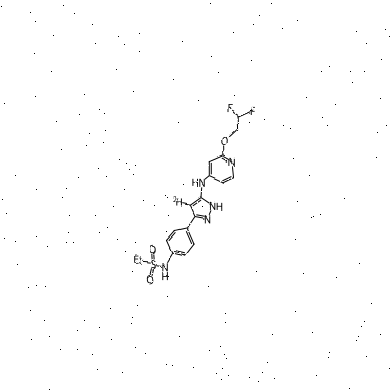 [2H]c1c(-c2ccc(NS(=O)(=O)CC)cc2)n[nH]c1Nc1ccnc(OCC(F)F)c1